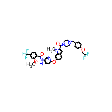 COc1cc(C(F)(F)F)ccc1C(=O)Nc1ccc(Oc2ccc3cc(C(=O)N4CCN(Cc5ccc(OCC(F)F)cc5)CC4)n(C)c3c2)nc1